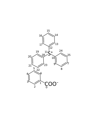 O=C([O-])c1ccccc1.c1ccc([S+](c2ccccc2)c2ccccc2)cc1